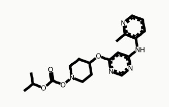 Cc1ncccc1Nc1cc(OC2CCN(OC(=O)OC(C)C)CC2)ncn1